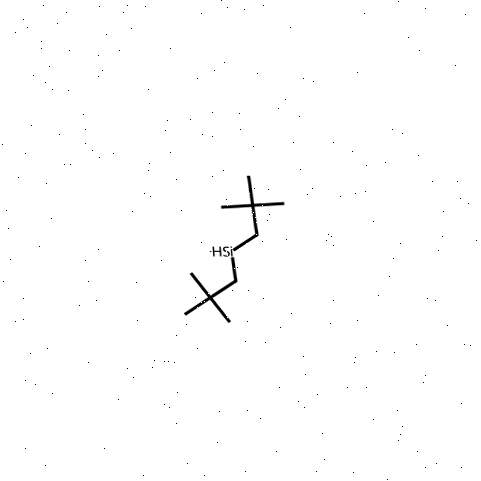 CC(C)(C)C[SiH]CC(C)(C)C